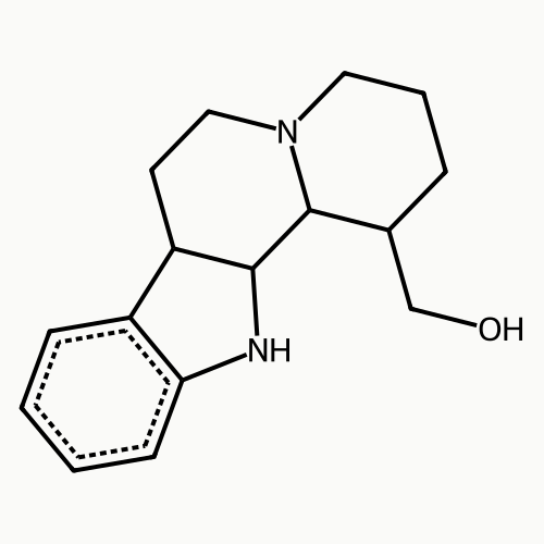 OCC1CCCN2CCC3c4ccccc4NC3C12